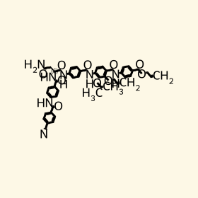 C=CCOC(=O)c1ccc(NC(=O)c2ccc(NC(=O)c3ccc(NC(=O)[C@H](CC(N)=O)NC(=O)c4ccc(NC(=O)c5ccc(C#N)cc5)cc4)cc3)c(OC(C)C)c2OCC=C)cc1